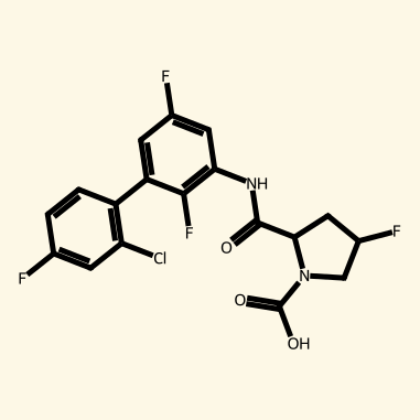 O=C(Nc1cc(F)cc(-c2ccc(F)cc2Cl)c1F)C1CC(F)CN1C(=O)O